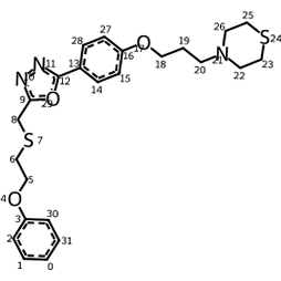 c1ccc(OCCSCc2nnc(-c3ccc(OCCCN4CCSCC4)cc3)o2)cc1